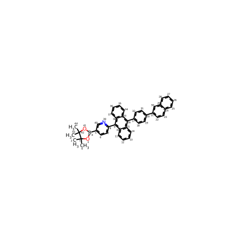 CC1(C)OB(c2ccc(-c3c4ccccc4c(-c4ccc(-c5ccc6ccccc6c5)cc4)c4ccccc34)nc2)OC1(C)C